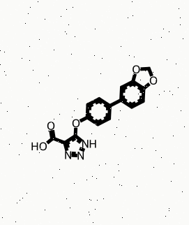 O=C(O)c1nn[nH]c1Oc1ccc(-c2ccc3c(c2)OCO3)cc1